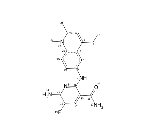 C=C(CC)c1cc(NC2=NC(N)C(F)C=C2C(N)=O)ccc1N(C)CC